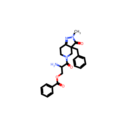 CN1N=C2CCN(C(=O)C(N)COC(=O)c3ccccc3)CC2(Cc2ccccc2)C1=O